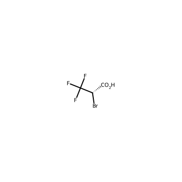 O=C(O)[C@H](Br)C(F)(F)F